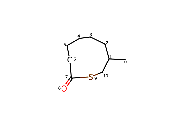 CC1CCCCCC(=O)SC1